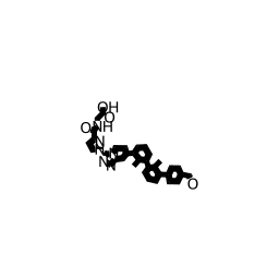 Cc1c(-c2ccc(C=O)cc2)cccc1-c1cccc(-c2ccn3c(-n4ccc(C(=O)NCC(=O)O)n4)nnc3c2)c1C